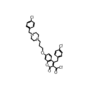 O=C(Cl)c1c(Cc2ccc(Cl)cc2)c2ccc(OCCCN3CCN(Cc4ccc(Cl)cc4)CC3)cc2oc1=O